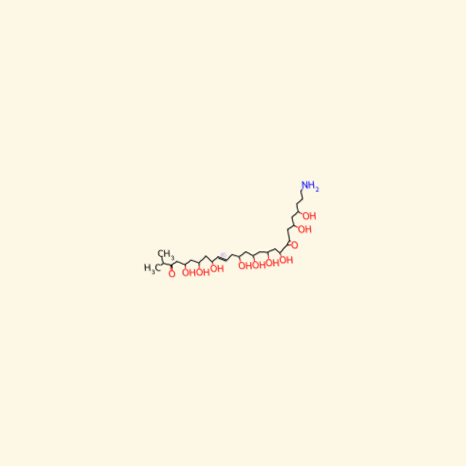 CC(C)C(=O)CC(O)CC(O)CC(O)/C=C/CC(O)CC(O)CC(O)CC(O)C1OC1CC(O)CC(O)CCCN